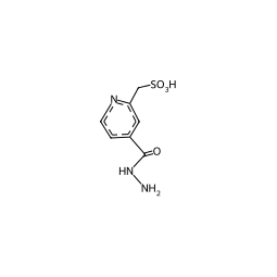 NNC(=O)c1ccnc(CS(=O)(=O)O)c1